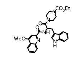 CCOC(=O)N1CCN(C(=O)C(Cc2c[nH]c3ccccc23)NC(=O)c2cc(OC)c3ccccc3n2)CC1